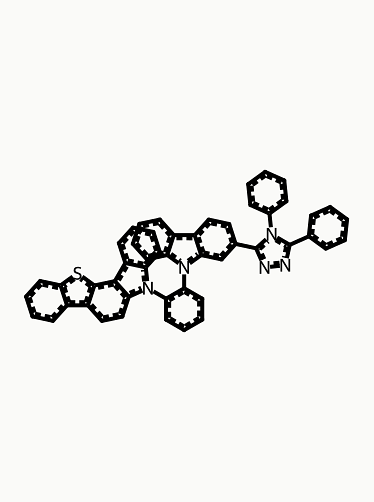 c1ccc(-c2nnc(-c3ccc4c5ccccc5n(-c5ccccc5-n5c6ccccc6c6c7sc8ccccc8c7ccc65)c4c3)n2-c2ccccc2)cc1